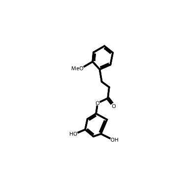 COc1ccccc1CCC(=O)Oc1cc(O)cc(O)c1